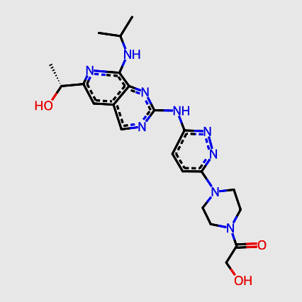 CC(C)Nc1nc([C@@H](C)O)cc2cnc(Nc3ccc(N4CCN(C(=O)CO)CC4)nn3)nc12